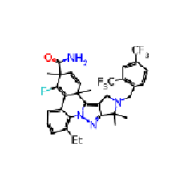 CCc1cccc2c1-n1nc3c(c1C1(C)C=CC(C)(C(N)=O)C(F)=C21)CN(Cc1ccc(C(F)(F)F)cc1C(F)(F)F)C3(C)C